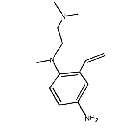 C=Cc1cc(N)ccc1N(C)CCN(C)C